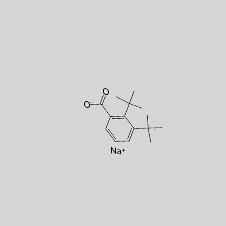 CC(C)(C)c1cccc(C(=O)[O-])c1C(C)(C)C.[Na+]